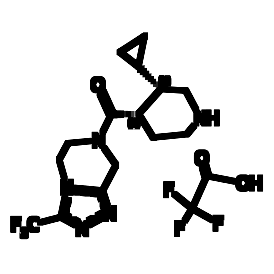 O=C(O)C(F)(F)F.O=C([C@H]1CCNC[C@H]1C1CC1)N1CCn2c(nnc2C(F)(F)F)C1